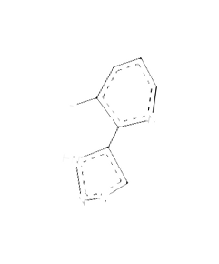 Fc1cccnc1-c1[c]nn[nH]1